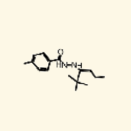 CCCC(NNC(=O)c1ccc(C)cc1)C(C)(C)C